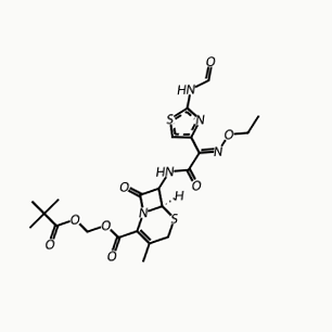 CCO/N=C(/C(=O)NC1C(=O)N2C(C(=O)OCOC(=O)C(C)(C)C)=C(C)CS[C@H]12)c1csc(NC=O)n1